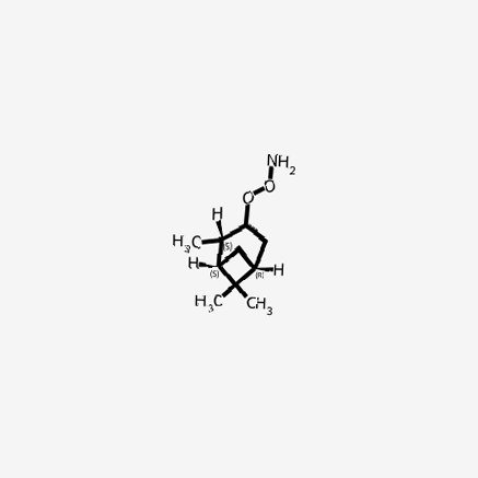 C[C@@H]1C(OON)C[C@H]2C[C@@H]1C2(C)C